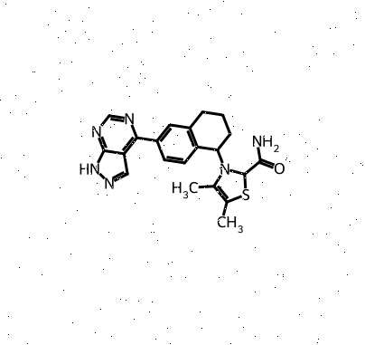 CC1=C(C)N(C2CCCc3cc(-c4ncnc5[nH]ncc45)ccc32)C(C(N)=O)S1